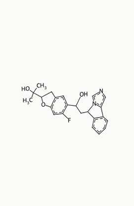 CC(C)(O)C1Cc2cc(C(O)CC3c4ccccc4-c4cncn43)c(F)cc2O1